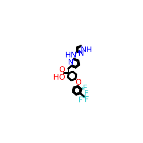 O=C(O)[C@]1(Cc2cccc(Nc3cc[nH]n3)n2)CC[C@@H](Oc2cccc(C(F)(F)F)c2F)CC1